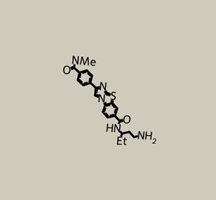 CCC(CCN)NC(=O)c1ccc2c(c1)sc1nc(-c3ccc(C(=O)NC)cc3)cn12